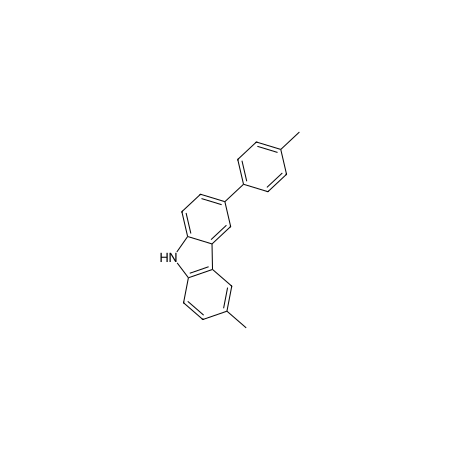 Cc1ccc(-c2ccc3[nH]c4ccc(C)cc4c3c2)cc1